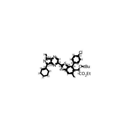 CCOC(=O)[C@@H](OC(C)(C)C)c1c(C)cc2nc(-c3cnc4c(n3)c(C3=CCCCC3)nn4C)sc2c1-c1ccc(Cl)cc1